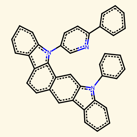 c1ccc(-c2ccc(-n3c4ccccc4c4ccc5cc6c7ccccc7n(-c7ccccc7)c6cc5c43)cn2)cc1